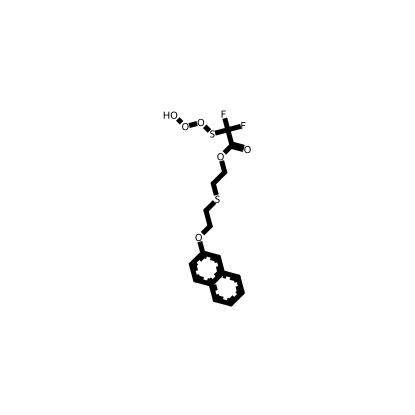 O=C(OCCSCCOc1ccc2ccccc2c1)C(F)(F)SOOO